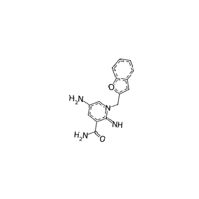 N=c1c(C(N)=O)cc(N)cn1Cc1cc2ccccc2o1